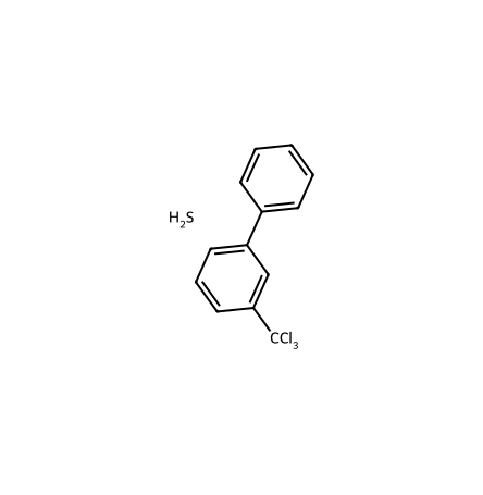 ClC(Cl)(Cl)c1cccc(-c2ccccc2)c1.S